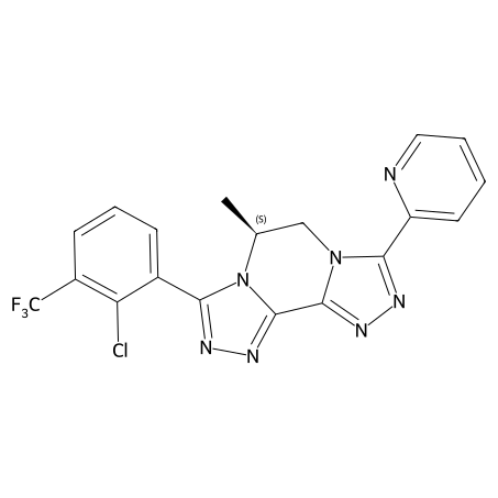 C[C@H]1Cn2c(-c3ccccn3)nnc2-c2nnc(-c3cccc(C(F)(F)F)c3Cl)n21